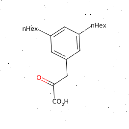 CCCCCCc1cc(CCCCCC)cc(CC(=O)C(=O)O)c1